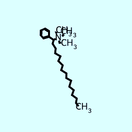 CCCCCCCCCCCCCCCCC(c1ccccc1)[N+](CC)(CC)CC